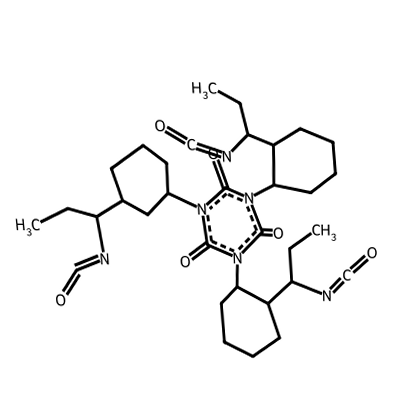 CCC(N=C=O)C1CCCC(n2c(=O)n(C3CCCCC3C(CC)N=C=O)c(=O)n(C3CCCCC3C(CC)N=C=O)c2=O)C1